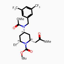 CC[C@@H]1C[C@H](N(Cc2cc(C(F)(F)F)cc(C(F)(F)F)c2)C(=O)OC)C[C@H](CC(=O)NC)N1C(=O)OC(C)(C)C